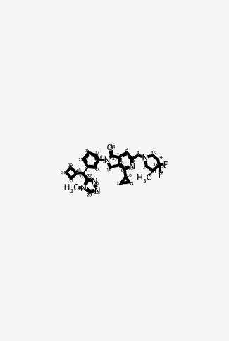 C[C@@H]1CN(Cc2cc3c(c(C4CC4)n2)CN(c2cccc([C@@H](c4nncn4C)C4CCC4)c2)C3=O)CCC1(F)F